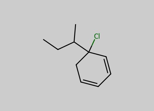 CCC(C)C1(Cl)C=CC=CC1